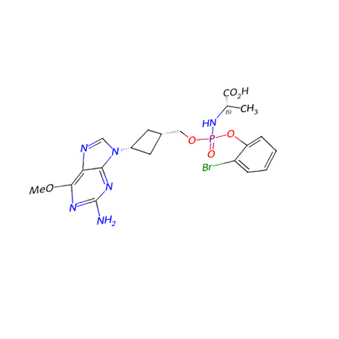 COc1nc(N)nc2c1ncn2[C@H]1C[C@@H](COP(=O)(N[C@@H](C)C(=O)O)Oc2ccccc2Br)C1